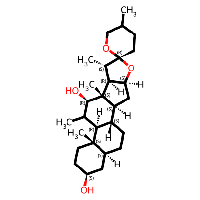 CC1CC[C@@]2(OC1)O[C@H]1C[C@H]3[C@@H]4CC[C@H]5C[C@@H](O)CC[C@]5(C)[C@H]4C(C)[C@@H](O)[C@]3(C)[C@H]1[C@@H]2C